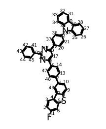 Fc1ccc2c(c1)sc1ccc(-c3ccc(-c4cc(-c5ccc(-n6c7ccccc7c7ccccc76)cc5)nc(-c5ccccc5)n4)cc3)cc12